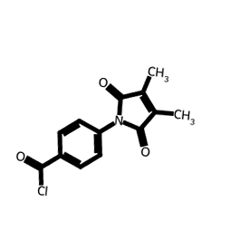 CC1=C(C)C(=O)N(c2ccc(C(=O)Cl)cc2)C1=O